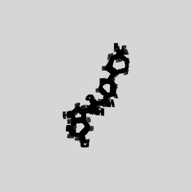 O=C(Nc1ccc(C2CCC(F)(F)CC2)nc1)Nc1c[nH]c2ncc(Cl)cc12